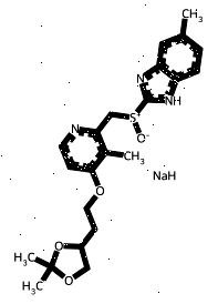 Cc1ccc2[nH]c([S+]([O-])Cc3nccc(OCCC4COC(C)(C)O4)c3C)nc2c1.[NaH]